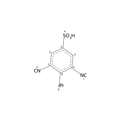 [C-]#[N+]c1cc(S(=O)(=O)O)cc([N+]#[C-])c1C(C)C